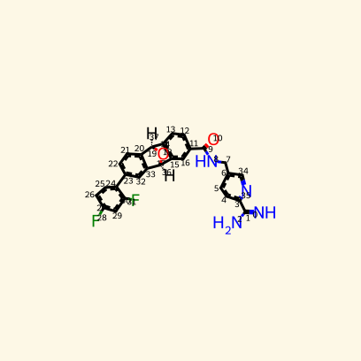 N=C(N)c1ccc(CNC(=O)c2ccc3c(c2)[C@@H]2O[C@H]3c3ccc(-c4ccc(F)cc4F)cc32)cn1